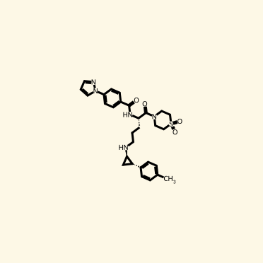 Cc1ccc([C@@H]2C[C@H]2NCCC[C@H](NC(=O)c2ccc(-n3cccn3)cc2)C(=O)N2CCS(=O)(=O)CC2)cc1